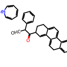 C1=CC=CNC=C1.O=CC(C(=O)C1C=c2c(ccc3c2=CCc2ccccc2-3)CC1)c1ccccc1